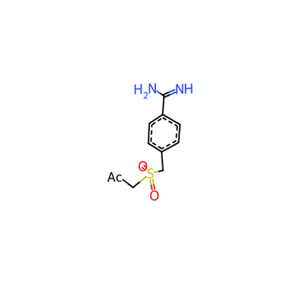 CC(=O)CS(=O)(=O)Cc1ccc(C(=N)N)cc1